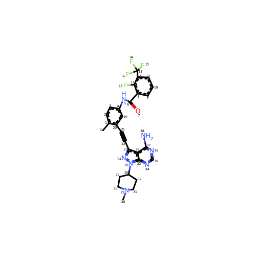 Cc1ccc(NC(=O)c2cccc(C(F)(F)F)c2F)cc1C#Cc1nn(C2CCN(C)CC2)c2ncnc(N)c12